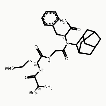 CC[C@H](C)[C@H](N)C(=O)N[C@H](CCSC)C(=O)NCC(=O)N(C1C2CC3CC(C2)CC1C3)[C@@H](Cc1ccccc1)C(N)=O